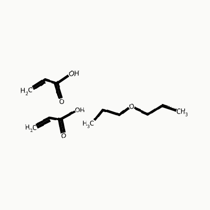 C=CC(=O)O.C=CC(=O)O.CCCOCCC